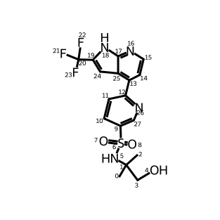 CC(C)(CO)NS(=O)(=O)c1ccc(-c2ccnc3[nH]c(C(F)(F)F)cc23)nc1